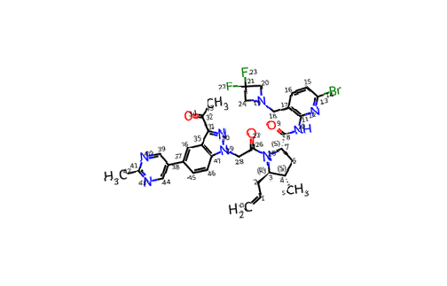 C=CC[C@@H]1[C@@H](C)C[C@@H](C(=O)Nc2nc(Br)ccc2CN2CC(F)(F)C2)N1C(=O)Cn1nc(C(C)=O)c2cc(-c3cnc(C)nc3)ccc21